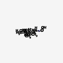 COC(=O)[C@H](CNC(=O)OC(C)(C)C)NC(=O)c1c(C)nc(NC/C=C/c2cccc(O)c2)nc1C